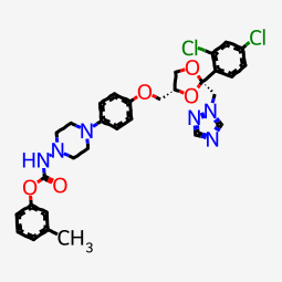 Cc1cccc(OC(=O)NN2CCN(c3ccc(OC[C@@H]4CO[C@@](Cn5cncn5)(c5ccc(Cl)cc5Cl)O4)cc3)CC2)c1